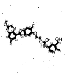 COc1cnc2c(-c3nc4cc(F)c(OCCOC(=O)Nc5cnc(C)c(CO)c5)cc4s3)cc(C)cc2n1